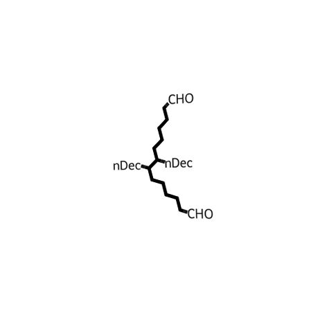 CCCCCCCCCCC(CCCCCC=O)C(CCCCCC=O)CCCCCCCCCC